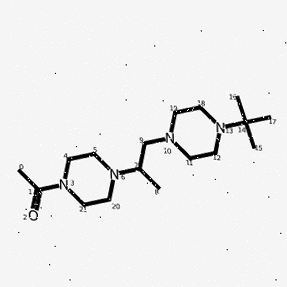 CC(=O)N1CCN(C(C)CN2CCN(C(C)(C)C)CC2)CC1